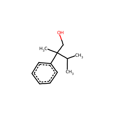 CC(C)C(C)(CO)c1ccccc1